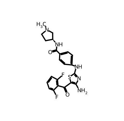 CN1CC[C@H](NC(=O)c2ccc(Nc3nc(N)c(C(=O)c4c(F)cccc4F)s3)cc2)C1